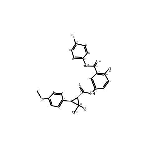 COc1ccc([C@H]2[C@H](C(=O)Nc3ccc(Cl)c(C(=O)Nc4ccc(F)cc4)c3)C2(Cl)Cl)cc1